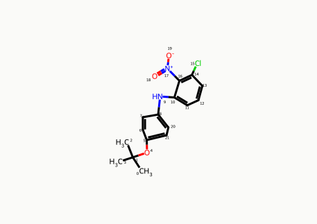 CC(C)(C)Oc1ccc(Nc2cccc(Cl)c2[N+](=O)[O-])cc1